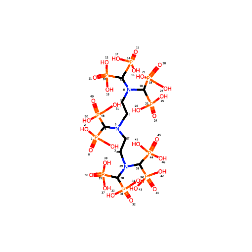 O=P(O)(O)C(N(CCN(C(P(=O)(O)O)P(=O)(O)O)C(P(=O)(O)O)P(=O)(O)O)CCN(C(P(=O)(O)O)P(=O)(O)O)C(P(=O)(O)O)P(=O)(O)O)P(=O)(O)O